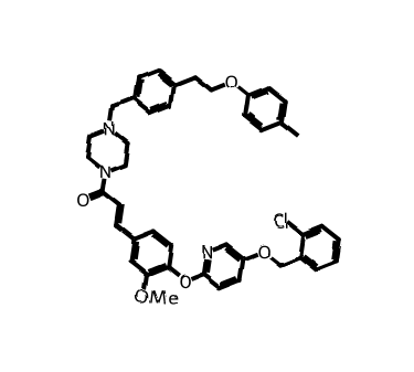 COc1cc(/C=C/C(=O)N2CCN(Cc3ccc(CCOc4ccc(C)cc4)cc3)CC2)ccc1Oc1ccc(OCc2ccccc2Cl)cn1